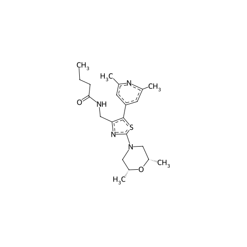 CCCC(=O)NCc1nc(N2C[C@@H](C)O[C@@H](C)C2)sc1-c1cc(C)nc(C)c1